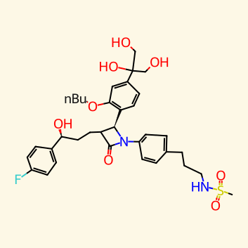 CCCCOc1cc(C(O)(CO)CO)ccc1[C@@H]1C(CC[C@H](O)c2ccc(F)cc2)C(=O)N1c1ccc(CCCNS(C)(=O)=O)cc1